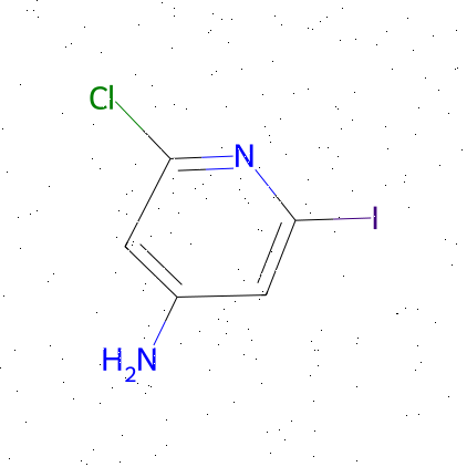 Nc1cc(Cl)nc(I)c1